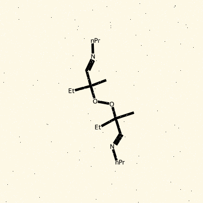 CCCN=CC(C)(CC)OOC(C)(C=NCCC)CC